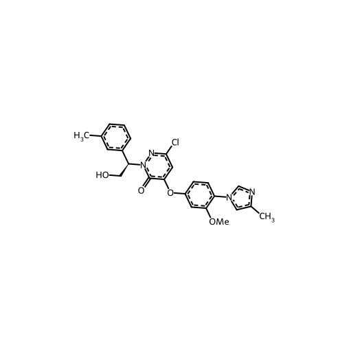 COc1cc(Oc2cc(Cl)nn([C@@H](CO)c3cccc(C)c3)c2=O)ccc1-n1cnc(C)c1